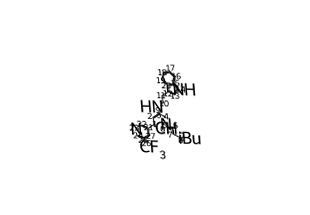 C=C(\C=C(/C=N/C=C/C(C)CC)NCCc1c[nH]c2ccccc12)c1cncc(C(F)(F)F)c1